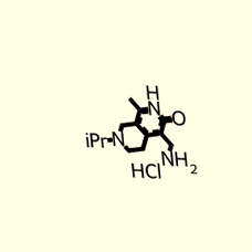 Cc1[nH]c(=O)c(CN)c2c1CN(C(C)C)CC2.Cl